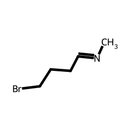 C/N=C/CCCBr